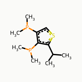 CC(C)c1scc(P(C)C)c1P(C)C